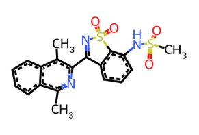 Cc1nc(C2=NS(=O)(=O)c3c(NS(C)(=O)=O)cccc32)c(C)c2ccccc12